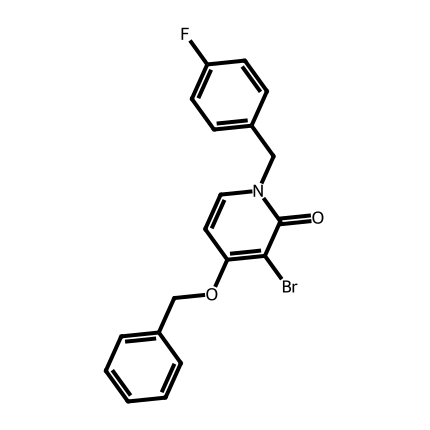 O=c1c(Br)c(OCc2ccccc2)ccn1Cc1ccc(F)cc1